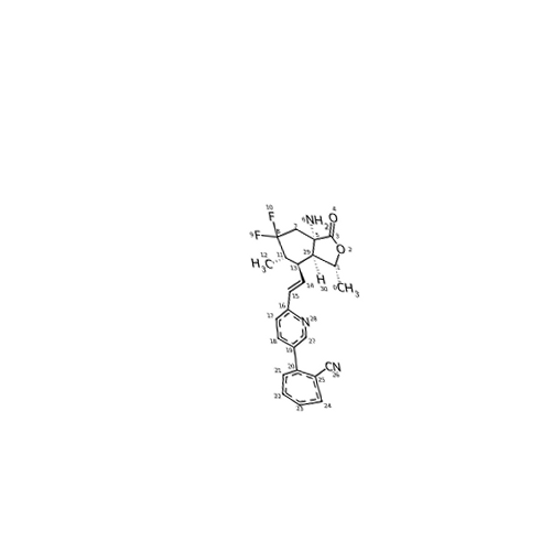 C[C@H]1OC(=O)[C@]2(N)CC(F)(F)[C@@H](C)[C@H](/C=C/c3ccc(-c4ccccc4C#N)cn3)[C@H]12